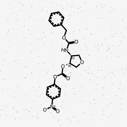 O=C(N[C@H]1COC[C@@H]1OC(=O)Oc1ccc([N+](=O)[O-])cc1)OCc1ccccc1